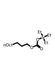 CCCCCCCCCCCOC(=O)O[Si](CC)(CC)CC